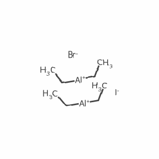 C[CH2][Al+][CH2]C.C[CH2][Al+][CH2]C.[Br-].[I-]